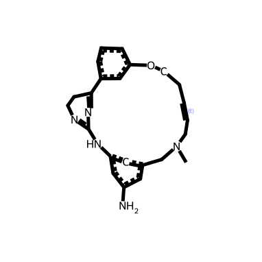 CN1C/C=C/CCOc2cccc(c2)C2=NC(=NCC2)Nc2cc(N)cc(c2)C1